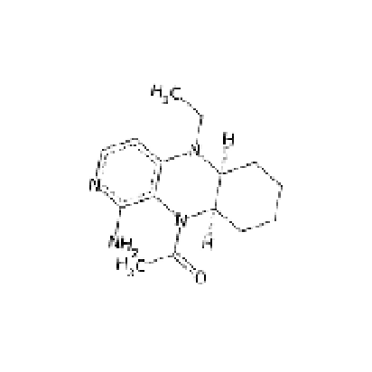 CCN1c2ccnc(N)c2N(C(C)=O)[C@@H]2CCCC[C@@H]21